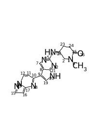 CN1C[C@@H](Nc2ncc3c(-c4ccn5nccc5n4)c[nH]c3n2)CCC1=O